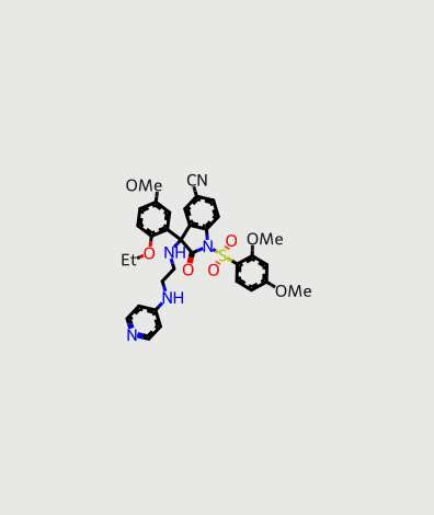 CCOc1ccc(OC)cc1C1(NCCNc2ccncc2)C(=O)N(S(=O)(=O)c2ccc(OC)cc2OC)c2ccc(C#N)cc21